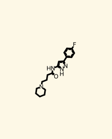 O=C(CCCN1CCCCC1)Nc1cc(-c2ccc(F)cc2)n[nH]1